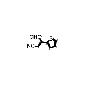 N#CCC(C=O)c1cccs1